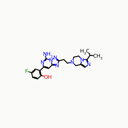 CC(C)c1ncc2n1CCN(CCc1nc3cc(-c4cc(F)ccc4O)nc(N)n3n1)C2